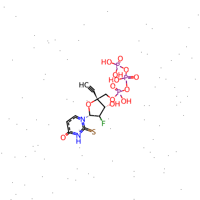 C#C[C@]1(COP(=O)(O)OP(=O)(O)OP(=O)(O)O)O[C@@H](n2ccc(=O)[nH]c2=S)C(F)[C@H]1O